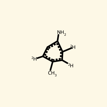 [2H]c1cc(N)c([2H])c([2H])c1C